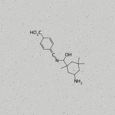 CC1(C)CC(N)CC(C)(C(O)N=C=C2C=CC(C(=O)O)C=C2)C1